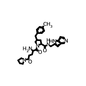 Cc1ccc(CC2CC(C(=O)NCc3cc4cnccc4[nH]3)N(C(=O)C(N)CCC(=O)N3CCCC3)C2)cc1